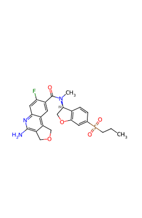 CCCS(=O)(=O)c1ccc2c(c1)OC[C@H]2N(C)C(=O)c1cc2c3c(c(N)nc2cc1F)COC3